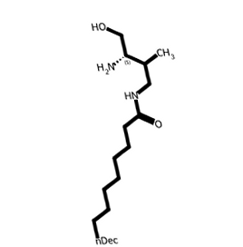 CCCCCCCCCCCCCCCCCC(=O)NCC(C)[C@H](N)CO